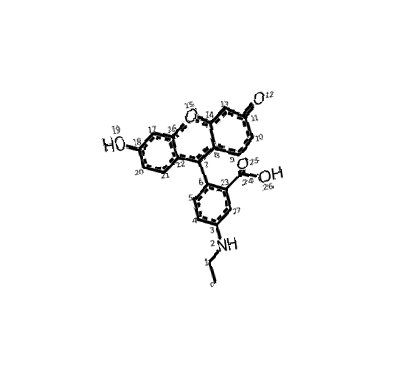 CCNc1ccc(-c2c3ccc(=O)cc-3oc3cc(O)ccc23)c(C(=O)O)c1